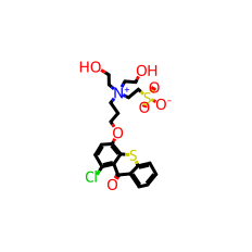 O=c1c2ccccc2sc2c(OCCC[N+](CCO)(CCO)CCS(=O)(=O)[O-])ccc(Cl)c12